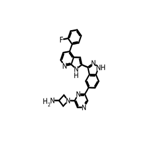 NC1CN(c2cncc(-c3ccc4[nH]nc(-c5cc6c(-c7ccccc7F)ccnc6[nH]5)c4c3)n2)C1